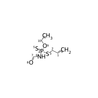 C=CCSP(=S)(NC=O)OCC